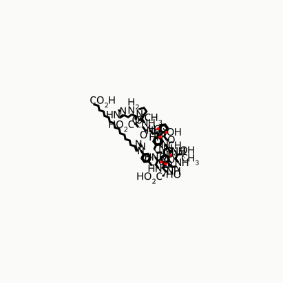 C[C@@H](O)[C@H](NC(=O)CNC(=O)[C@H](CCC(=O)O)NC(=O)[C@]1(C)CCCN1C(=O)C(N)Cc1c[nH]cn1)C(=O)NC(C)(Cc1ccccc1F)C(=O)N[C@H](C(=O)N[C@@H](CO)C(=O)N[C@@H](CC(=O)O)C(=O)N[C@@H](Cc1ccc(-n2cc(CCCCCCCCCCCCCCCC(=O)O)nn2)cc1)C(=O)N[C@@H](Cc1ccc(-c2ccccc2)cc1)C(N)=O)[C@@H](C)O